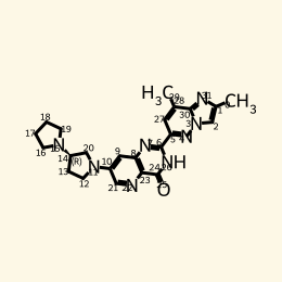 Cc1cn2nc(-c3nc4cc(N5CC[C@@H](N6CCCC6)C5)cnc4c(=O)[nH]3)cc(C)c2n1